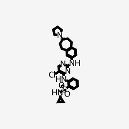 O=S(=O)(NC1CC1)c1ccccc1Nc1nc(Nc2ccc3c(c2)CC[C@@H](N2CCCC2)CC3)ncc1Cl